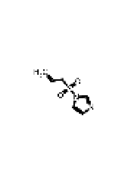 C=CCS(=O)(=O)n1ccnc1